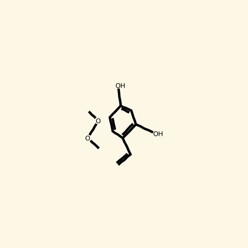 C=Cc1ccc(O)cc1O.COOC